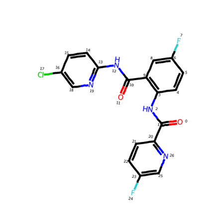 O=C(Nc1ccc(F)cc1C(=O)Nc1ccc(Cl)cn1)c1ccc(F)cn1